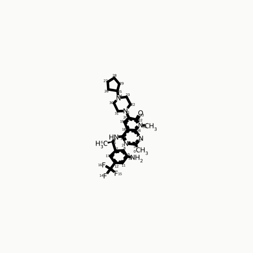 Cc1nc(N[C@H](C)c2cc(N)cc(C(F)(F)F)c2)c2cc(N3CCN(C4CCCC4)CC3)c(=O)n(C)c2n1